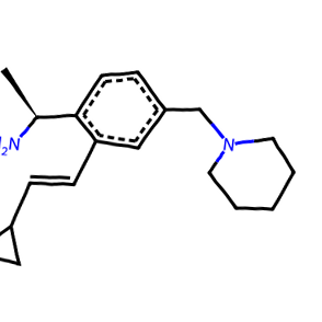 C[C@H](N)c1ccc(CN2CCCCC2)cc1/C=C/C1CC1